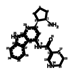 N[C@H]1CCC[C@H]1c1cc(NC(=O)C2=CNCCS2)c2c(n1)[nH]c1ccccc12